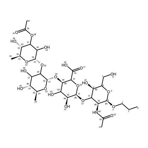 CCCO[C@@H]1OC(CO)[C@H](O)C(O[C@@H]2OC(C(=O)O)[C@H](O[C@@H]3O[C@@H](C)[C@H](O)C(O)C3O[C@@H]3O[C@@H](C)[C@H](O)C(OC(C)=O)C3O)C(O)[C@@H]2O)[C@@H]1NC(C)=O